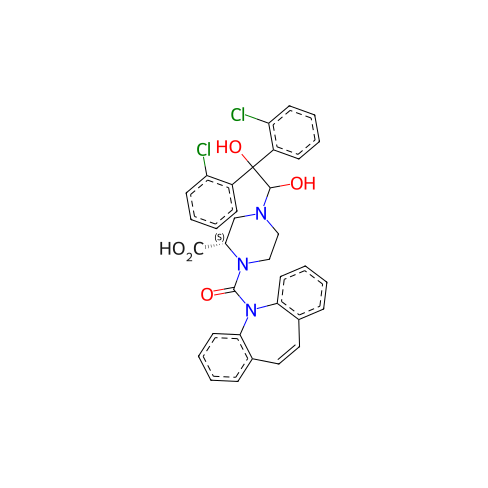 O=C(O)[C@@H]1CN(C(O)C(O)(c2ccccc2Cl)c2ccccc2Cl)CCN1C(=O)N1c2ccccc2C=Cc2ccccc21